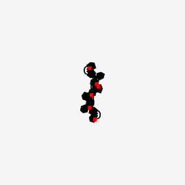 c1ccc(N(c2ccc3oc4ccccc4c3c2)c2ccc3c(c2)c2cccc4c5cc6c(cc5n3c24)c2cccc3c4cc(N(c5ccccc5)c5ccc7oc8ccccc8c7c5)ccc4n6c32)cc1